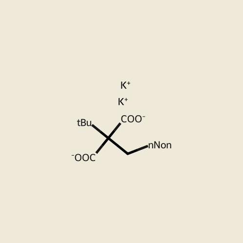 CCCCCCCCCCC(C(=O)[O-])(C(=O)[O-])C(C)(C)C.[K+].[K+]